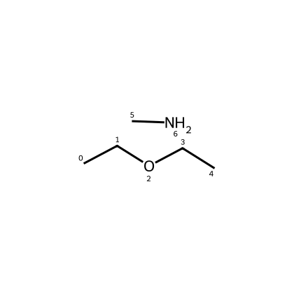 CCOCC.CN